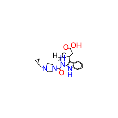 CC(CC(=O)O)c1c(NC(=O)N2CCN(CC3CC3)CC2)[nH]c2ccccc12